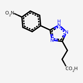 O=C(O)CCc1n[nH]c(-c2ccc([N+](=O)[O-])cc2)n1